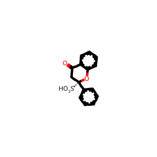 O=C1C[C@@](c2ccccc2)(S(=O)(=O)O)Oc2ccccc21